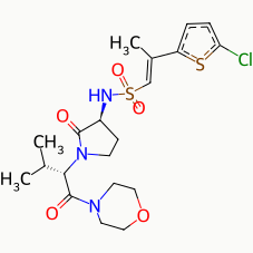 C/C(=C\S(=O)(=O)N[C@H]1CCN([C@H](C(=O)N2CCOCC2)C(C)C)C1=O)c1ccc(Cl)s1